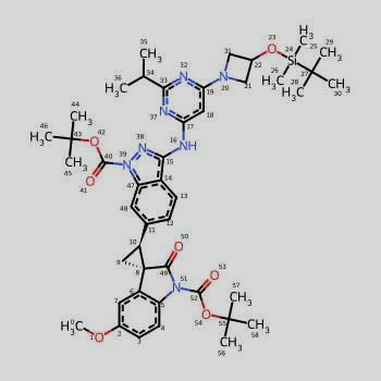 COc1ccc2c(c1)[C@]1(C[C@H]1c1ccc3c(Nc4cc(N5CC(O[Si](C)(C)C(C)(C)C)C5)nc(C(C)C)n4)nn(C(=O)OC(C)(C)C)c3c1)C(=O)N2C(=O)OC(C)(C)C